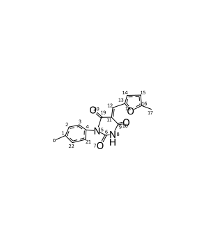 Cc1ccc(N2C(=O)NC(=O)/C(=C\c3ccc(C)o3)C2=O)cc1